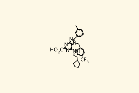 Cc1cccc(-c2nc3nc(C(=O)O)nc(NCCC4CCCC4)c3n2Cc2ccc(C(F)(F)F)cc2)c1